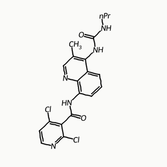 CCCNC(=O)Nc1c(C)cnc2c(NC(=O)c3c(Cl)ccnc3Cl)cccc12